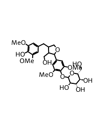 COc1cc(CC2COC(c3cc(OC)c(OC4O[C@H](CO)[C@@H](O)[C@H](O)[C@H]4O)c(OC)c3)C2CO)cc(OC)c1O